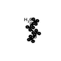 Cc1cccc(N(c2ccccc2)c2cc3oc4cc(N(c5ccccc5)c5cccc(Cc6ccc7c(c6)c(N(c6ccccc6)c6ccccc6)cc6oc8cc(N(c9ccccc9)c9ccccc9)c9ccccc9c8c67)c5)c5ccccc5c4c3c3ccccc23)c1